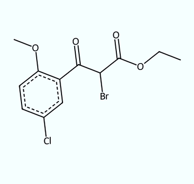 CCOC(=O)C(Br)C(=O)c1cc(Cl)ccc1OC